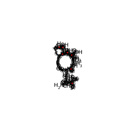 CC(=O)N1CCC[C@]12C/C=C/CCC[C@@]1(CCC/C=C\CCCOC(=O)N3CC4=C[C@@]4(C3)NC(=O)[C@H](CCCCNC(=O)CC[C@H](NC(=O)[C@H](Cc3csc4ccccc34)NC(=O)[C@H](Cc3ccsc3)NC=O)C(=O)N[C@@H](C)C(N)=O)NC(=O)[C@H](Cc3ccccc3)NC(=O)[C@H](C)NC(=O)C(C)(C)NC(=O)[C@H](Cc3cccc(C(=O)O)c3)NC(=O)[C@H](CC(=O)O)NC1)NC(O)CNC(=O)[C@H](CC(=O)O)NC2